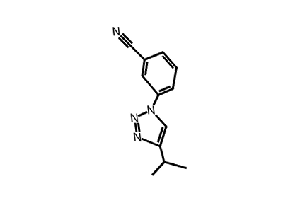 CC(C)c1cn(-c2cccc(C#N)c2)nn1